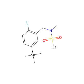 CCS(=O)(=O)N(C)Cc1c[c]([Sn]([CH3])([CH3])[CH3])ccc1F